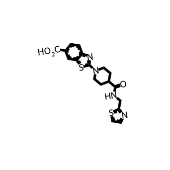 O=C(O)c1ccc2nc(N3CCC(C(=O)NCc4nccs4)CC3)sc2c1